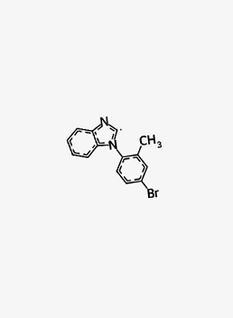 Cc1cc(Br)ccc1-n1[c]nc2ccccc21